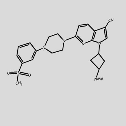 CNC1CC(n2cc(C#N)c3ccc(N4CCN(c5cccc(S(C)(=O)=O)c5)CC4)nc32)C1